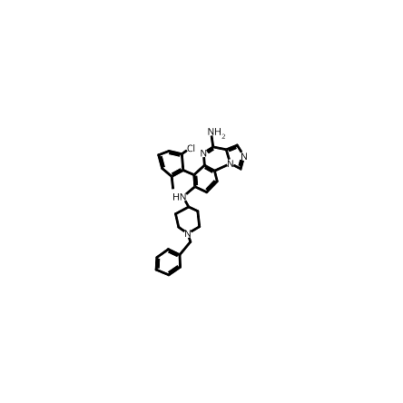 Cc1cccc(Cl)c1-c1c(NC2CCN(Cc3ccccc3)CC2)ccc2c1nc(N)c1cncn12